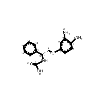 Nc1ccc(OC[C@H](NC(=O)O)c2ccccc2)cc1N